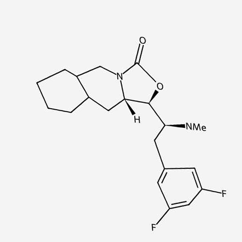 CN[C@@H](Cc1cc(F)cc(F)c1)[C@@H]1OC(=O)N2CC3CCCCC3C[C@@H]12